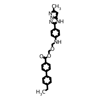 CCc1ccc(-c2ccc(C(=O)OCOCNc3ccc(-c4nn5nc(C)cc5[nH]4)cc3)cc2)cc1